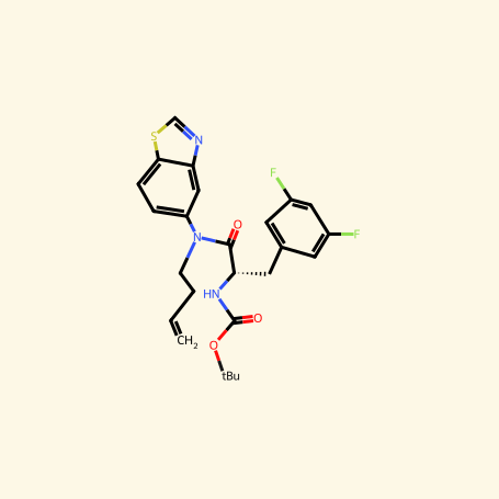 C=CCCN(C(=O)[C@H](Cc1cc(F)cc(F)c1)NC(=O)OC(C)(C)C)c1ccc2scnc2c1